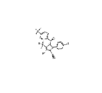 CC(C)(C)c1ccc(C(=O)n2c(-c3ccc(Cl)cc3)c(C#N)c(Br)c2C(F)(F)F)cc1